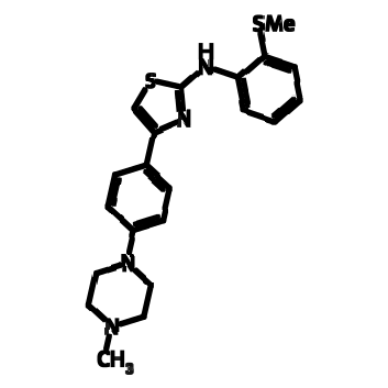 CSc1ccccc1Nc1nc(-c2ccc(N3CCN(C)CC3)cc2)cs1